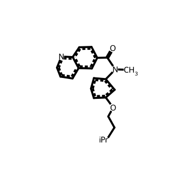 CC(C)CCOc1cccc(N(C)C(=O)c2ccc3ncccc3c2)c1